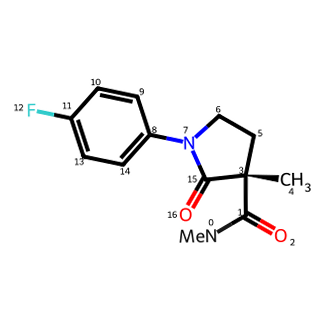 CNC(=O)[C@@]1(C)CCN(c2ccc(F)cc2)C1=O